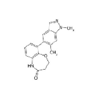 Cc1cc2c(cnn2C)cc1-c1cccc2c1OCCC(=O)N2